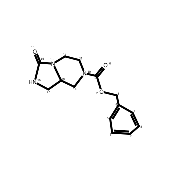 O=C(OCc1ccccc1)N1CCN2C(=O)NCC2C1